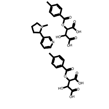 CN1CCCC1c1cccnc1.Cc1ccc(C(=O)OC(C(=O)O)C(O)C(=O)O)cc1.Cc1ccc(C(=O)OC(C(=O)O)C(O)C(=O)O)cc1